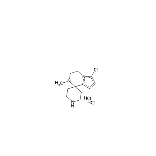 CN1CCn2c(Cl)ccc2C12CCNCC2.Cl.Cl